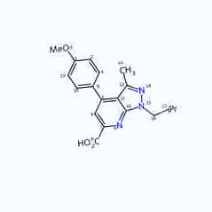 COc1ccc(-c2cc(C(=O)O)nc3c2c(C)nn3CC(C)C)cc1